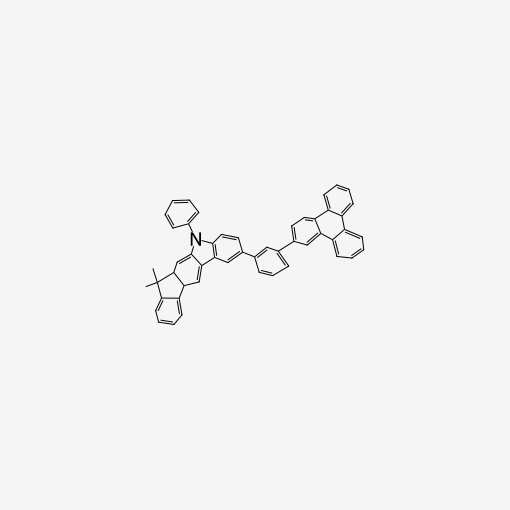 CC1(C)c2ccccc2C2C=c3c(n(-c4ccccc4)c4ccc(-c5cccc(-c6ccc7c8ccccc8c8ccccc8c7c6)c5)cc34)=CC21